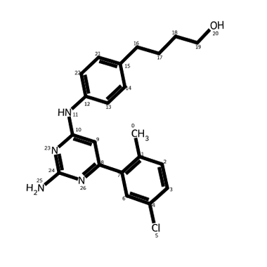 Cc1ccc(Cl)cc1-c1cc(Nc2ccc(CCCCO)cc2)nc(N)n1